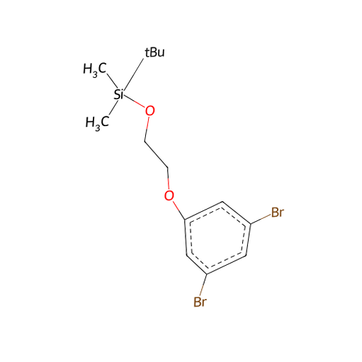 CC(C)(C)[Si](C)(C)OCCOc1cc(Br)cc(Br)c1